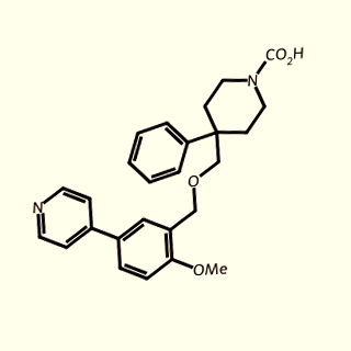 COc1ccc(-c2ccncc2)cc1COCC1(c2ccccc2)CCN(C(=O)O)CC1